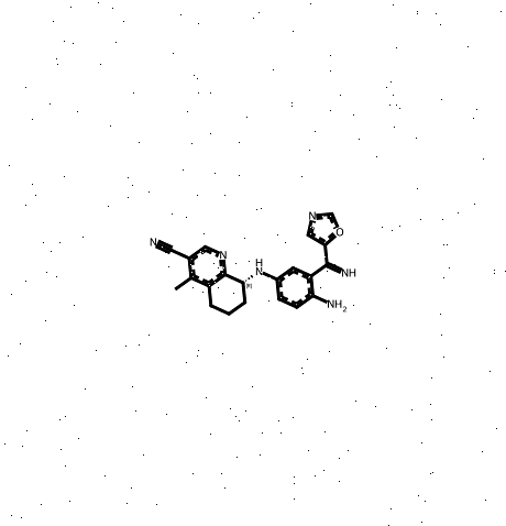 Cc1c(C#N)cnc2c1CCC[C@H]2Nc1ccc(N)c(C(=N)c2cnco2)c1